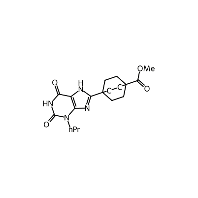 CCCn1c(=O)[nH]c(=O)c2[nH]c(C34CCC(C(=O)OC)(CC3)CC4)nc21